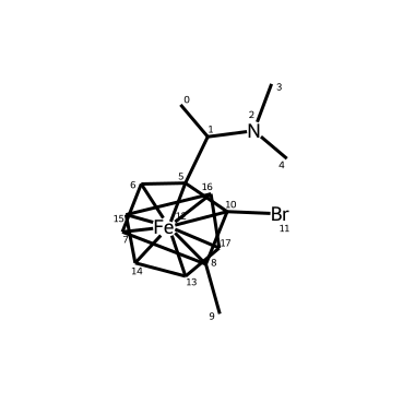 CC(N(C)C)[C]12[CH]3[CH]4[C]5(C)[C]1(Br)[Fe]43521678[CH]2[CH]1[CH]6[CH]7[CH]28